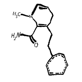 CN1C=CCC(CCc2ccccc2)=C1C(N)=O